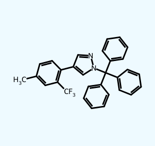 Cc1ccc(-c2cnn(C(c3ccccc3)(c3ccccc3)c3ccccc3)c2)c(C(F)(F)F)c1